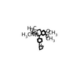 CNC(=O)N1N=C(c2ccc(N3CCCC3)cc2)c2cc(OC)c(OC)cc2C[C@@H]1C